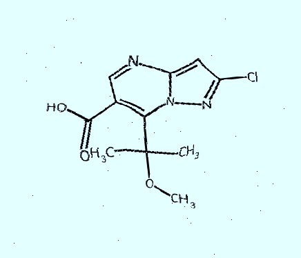 COC(C)(C)c1c(C(=O)O)cnc2cc(Cl)nn12